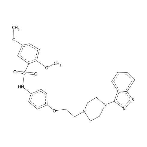 COc1ccc(OC)c(S(=O)(=O)Nc2ccc(OCCN3CCN(c4nsc5ccccc45)CC3)cc2)c1